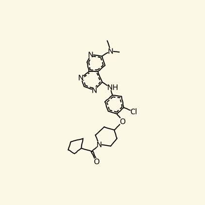 CN(C)c1cc2c(Nc3ccc(OC4CCN(C(=O)C5CCCC5)CC4)c(Cl)c3)ncnc2cn1